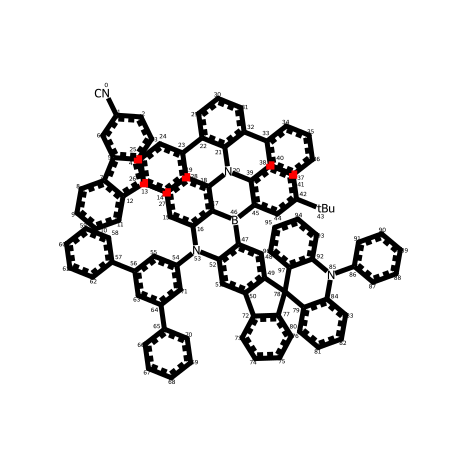 [C-]#[N+]c1ccc2c(c1)c1ccccc1n2-c1cc2c3c(c1)N(c1c(-c4ccccc4)cccc1-c1ccccc1)c1ccc(C(C)(C)C)cc1B3c1cc3c(cc1N2c1cc(-c2ccccc2)cc(-c2ccccc2)c1)-c1ccccc1C31c2ccccc2N(c2ccccc2)c2ccccc21